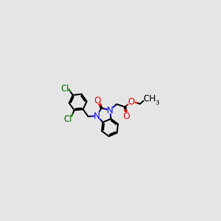 CCOC(=O)Cn1c(=O)n(Cc2ccc(Cl)cc2Cl)c2ccccc21